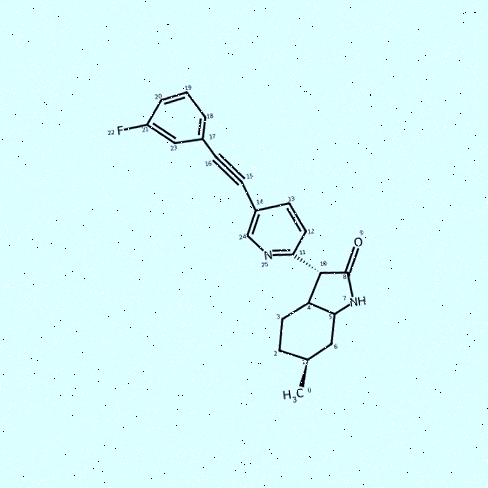 C[C@H]1CCC2C(C1)NC(=O)[C@H]2c1ccc(C#Cc2cccc(F)c2)cn1